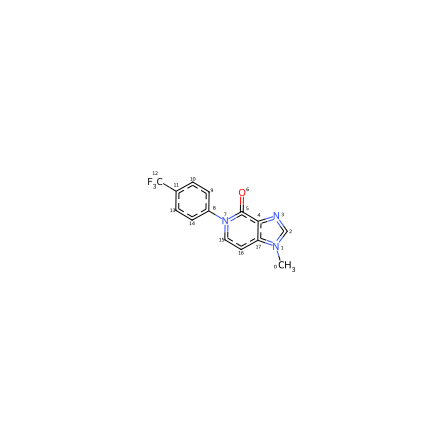 Cn1cnc2c(=O)n(-c3ccc(C(F)(F)F)cc3)ccc21